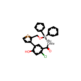 COC(=O)c1cc(-c2ccsc2CO[Si](c2ccccc2)(c2ccccc2)C(C)(C)C)c(O)cc1Cl